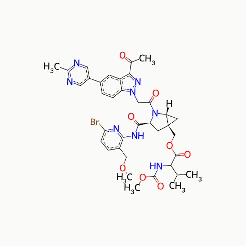 COCc1ccc(Br)nc1NC(=O)[C@@H]1C[C@@]2(COC(=O)C(NC(=O)OC)C(C)C)C[C@H]2N1C(=O)Cn1nc(C(C)=O)c2cc(-c3cnc(C)nc3)ccc21